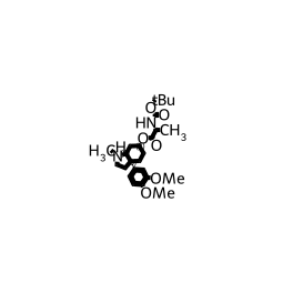 COc1ccc([C@@]23CC[C@@H](OC(=O)C(C)NC(=O)OC(C)(C)C)C[C@@H]2N(C)CC3)cc1OC